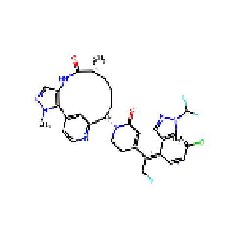 C=C(Cl)/C=C\C(=C(/CF)C1=CC(=O)N([C@H]2CCC[C@@H](C)C(=O)Nc3cnn(C)c3-c3ccnc2c3)CC1)c1cnn(C(F)F)c1